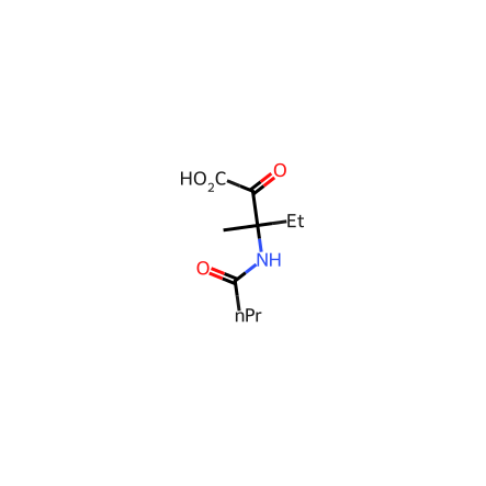 CCCC(=O)NC(C)(CC)C(=O)C(=O)O